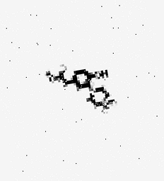 COC(=O)Cc1ccc(O)c(N2CCS(=O)(=O)CC2)c1